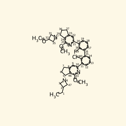 CCC1CN([C@@H]2CCc3cc(-c4cccc(-c5cccc(-c6cc7c(c(OC)n6)[C@H](N6CC(OC)C6)CC7)c5F)c4Cl)nc(OC)c32)C1